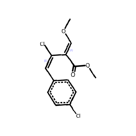 CO/C=C(C(=O)OC)\C(Cl)=C/c1ccc(Cl)cc1